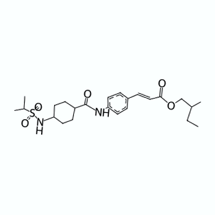 CCC(C)COC(=O)/C=C/c1ccc(NC(=O)C2CCC(NS(=O)(=O)C(C)C)CC2)cc1